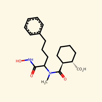 CN(C(=O)[C@H]1CCCC[C@@H]1C(=O)O)C(CCCc1ccccc1)C(=O)NO